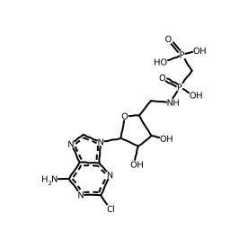 Nc1nc(Cl)nc2c1ncn2C1OC(CNP(=O)(O)CP(=O)(O)O)C(O)C1O